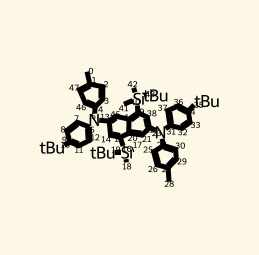 Cc1ccc(N(c2ccc(C(C)(C)C)cc2)c2cc([Si](C)(C)C(C)(C)C)c3cc(N(c4ccc(C)cc4)c4ccc(C(C)(C)C)cc4)cc([Si](C)(C)C(C)(C)C)c3c2)cc1